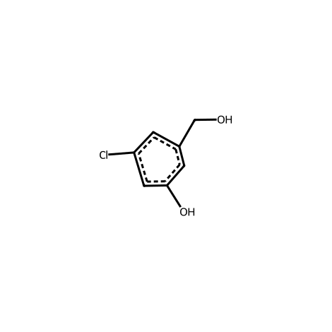 OCc1cc(O)cc(Cl)c1